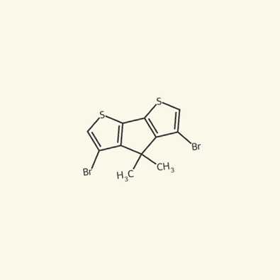 CC1(C)c2c(Br)csc2-c2scc(Br)c21